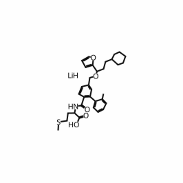 CSCCC(NC(=O)c1ccc(COC(CCC2CCCCC2)c2ccco2)cc1-c1ccccc1C)C(=O)O.[LiH]